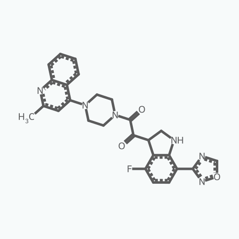 Cc1cc(N2CCN(C(=O)C(=O)C3CNc4c(-c5ncon5)ccc(F)c43)CC2)c2ccccc2n1